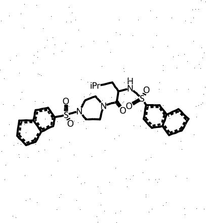 CC(C)CC(NS(=O)(=O)c1ccc2ccccc2c1)C(=O)N1CCN(S(=O)(=O)c2ccc3ccccc3c2)CC1